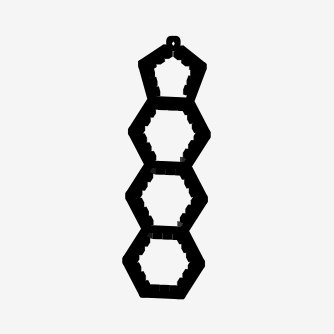 c1ccc2cc3cc4cocc4cc3cc2c1